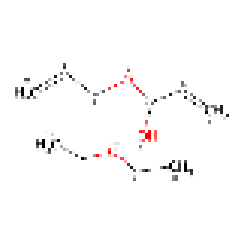 C=CCOC(O)C=C.CCOCC